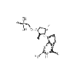 C=C1[C@@H](n2cnc3c(=O)[nH]c(N)nc32)[C@@H](C)C[C@H]1OCP(=O)(O)O